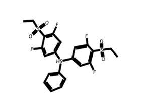 CCS(=O)(=O)c1c(F)cc([SH](c2ccccc2)c2cc(F)c(S(=O)(=O)CC)c(F)c2)cc1F